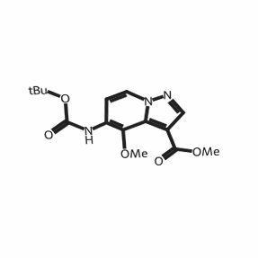 COC(=O)c1cnn2ccc(NC(=O)OC(C)(C)C)c(OC)c12